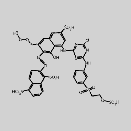 O=S(=O)(O)OCCS(=O)(=O)c1cccc(Nc2nc(Cl)nc(Nc3cc(S(=O)(=O)O)cc4cc(SOOO)c(N=Nc5ccc6c(S(=O)(=O)O)cccc6c5S(=O)(=O)O)c(O)c34)n2)c1